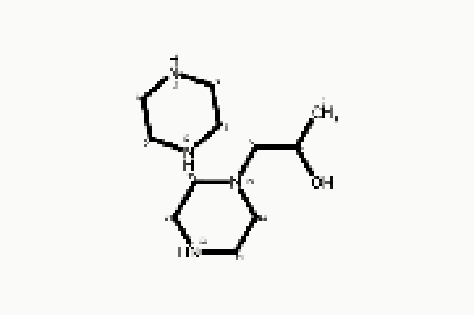 C1CNCCN1.CC(O)CN1CCNCC1